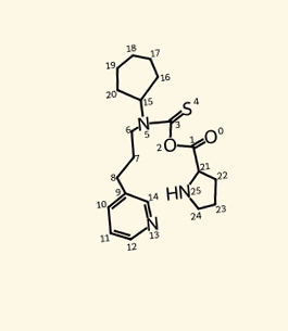 O=C(OC(=S)N(CCCc1cccnc1)C1CCCCC1)C1CCCN1